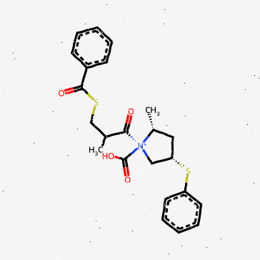 CC(CSC(=O)c1ccccc1)C(=O)[N@@+]1(C(=O)O)C[C@@H](Sc2ccccc2)C[C@H]1C